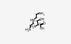 NCCNCCN.NCCO.O=CO